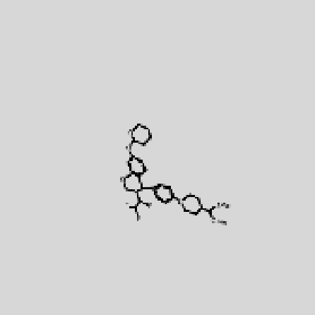 COC(OC)C1CCN(c2ccc(C3c4ccc(OC5CCCCO5)cc4OCC3C(F)C(F)F)cc2)CC1